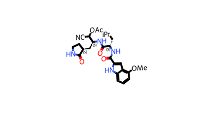 COc1cccc2[nH]c(C(=O)N[C@@H](CC(C)C)C(=O)N[C@@H](C[C@@H]3CCNC3=O)C(C#N)OC(C)=O)cc12